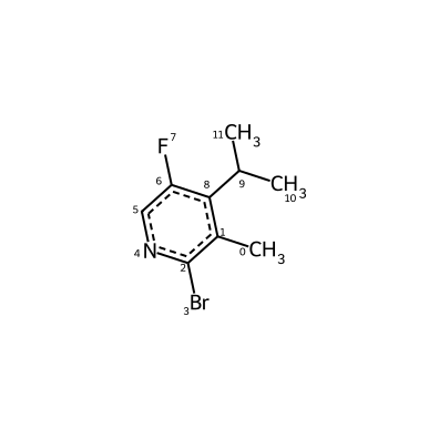 Cc1c(Br)ncc(F)c1C(C)C